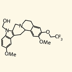 COc1ccc2c(c1)c1c(n2CO)CN2CCc3cc(OCC(F)(F)F)c(OC)cc3C2C1